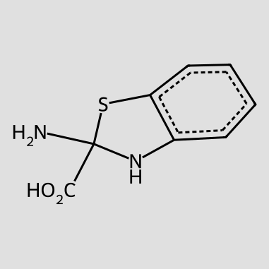 NC1(C(=O)O)Nc2ccccc2S1